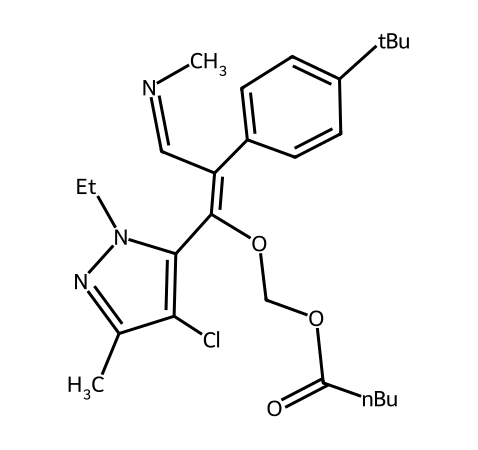 CCCCC(=O)OCO/C(=C(/C=N\C)c1ccc(C(C)(C)C)cc1)c1c(Cl)c(C)nn1CC